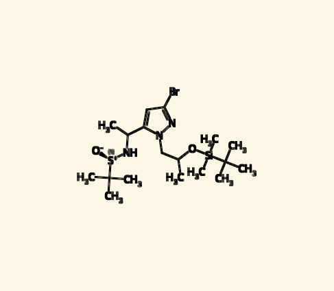 CC(Cn1nc(Br)cc1C(C)N[S@+]([O-])C(C)(C)C)O[Si](C)(C)C(C)(C)C